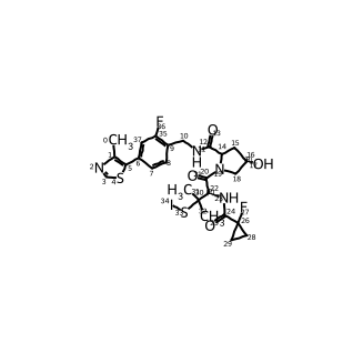 Cc1ncsc1-c1ccc(CNC(=O)C2C[C@@H](O)CN2C(=O)[C@@H](NC(=O)C2(F)CC2)C(C)(C)SI)c(F)c1